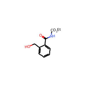 CCOC(=O)NC(=O)c1ccccc1CO